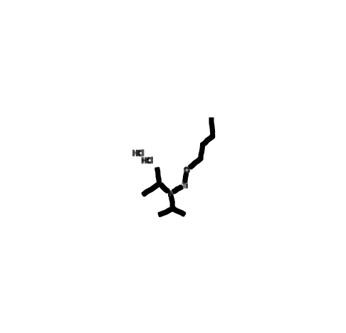 CCCC[O][Ti][N](C(C)C)C(C)C.Cl.Cl